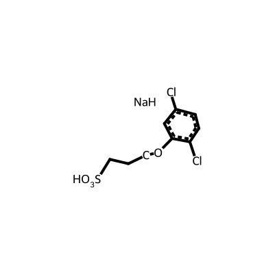 O=S(=O)(O)CCCOc1cc(Cl)ccc1Cl.[NaH]